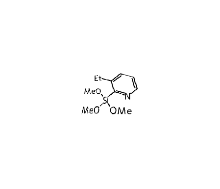 CCc1cccnc1[Si](OC)(OC)OC